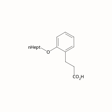 CCCCCCCOc1ccccc1CCC(=O)O